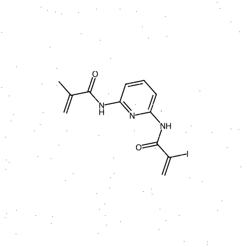 C=C(C)C(=O)Nc1cccc(NC(=O)C(=C)I)n1